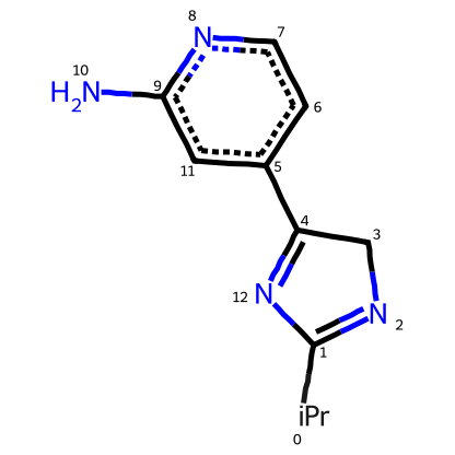 CC(C)C1=NCC(c2ccnc(N)c2)=N1